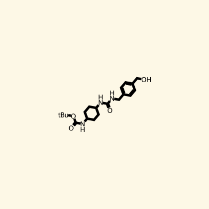 CC(C)(C)OC(=O)NC1CCC(NC(=O)NCc2ccc(CO)cc2)CC1